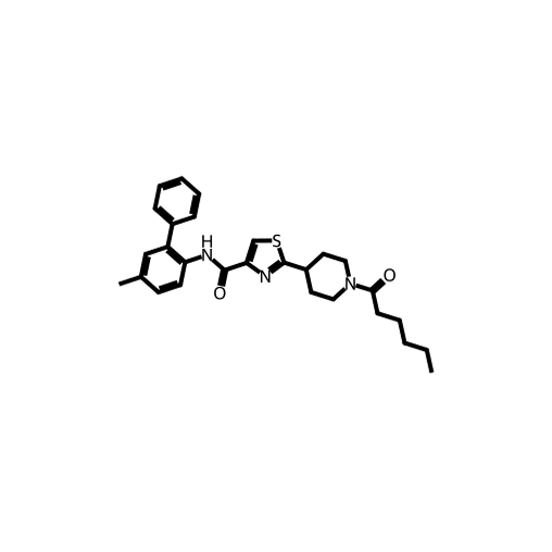 CCCCCC(=O)N1CCC(c2nc(C(=O)Nc3ccc(C)cc3-c3ccccc3)cs2)CC1